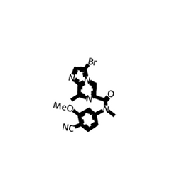 COc1cc(N(C)C(=O)c2cn3c(Br)cnc3c(C)n2)ccc1C#N